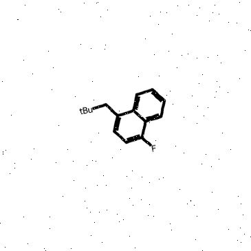 CC(C)(C)Cc1ccc(F)c2ccccc12